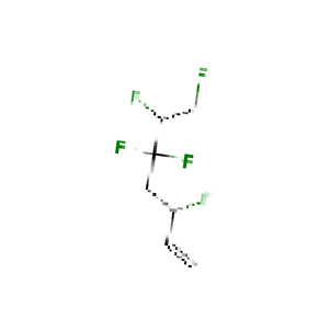 C=CC(F)CC(F)(F)C(F)CF